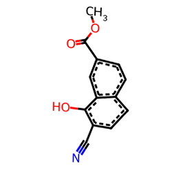 COC(=O)c1ccc2ccc(C#N)c(O)c2c1